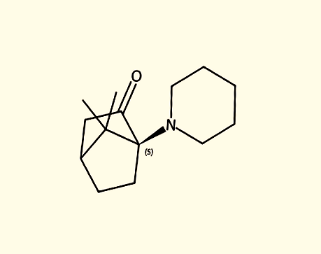 CC1(C)C2CC[C@@]1(N1CCCCC1)C(=O)C2